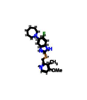 COc1ccnc(CSc2nc3cc(N4CCCCCC4)c(F)cc3[nH]2)c1C